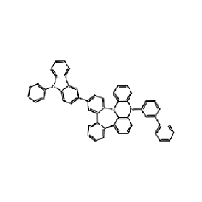 c1ccc(-c2cccc(N3c4ccccc4N4c5ccc(-c6ccc7c(c6)c6ccccc6n7-c6ccccc6)cc5-c5ccccc5-c5cccc3c54)c2)cc1